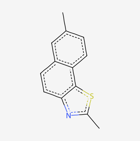 Cc1ccc2c(ccc3nc(C)sc32)c1